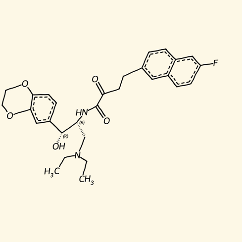 CCN(CC)C[C@@H](NC(=O)C(=O)CCc1ccc2cc(F)ccc2c1)[C@H](O)c1ccc2c(c1)OCCO2